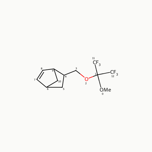 COC(OCC1CC2C=CC1C2)(C(F)(F)F)C(F)(F)F